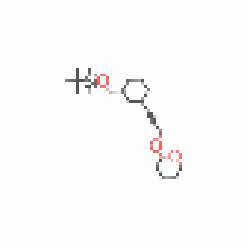 CC(C)(C)[Si](C)(C)OCC1CCCC(C#CCOC2CCCCO2)C1